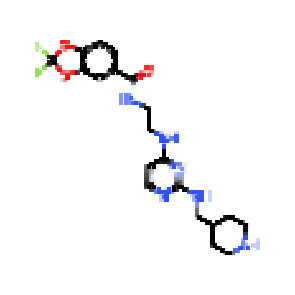 O=C(NCCNc1ccnc(NCC2CCNCC2)n1)c1ccc2c(c1)OC(F)(F)O2